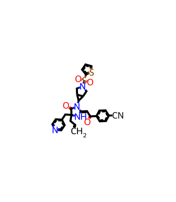 C=CCC1(Cc2ccncc2)N/C(=C\C(=O)c2ccc(C#N)cc2)N(C2C3CN(S(=O)(=O)c4cccs4)CC32)C1=O